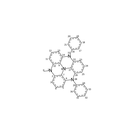 CN1c2cccc3c2N2c4c1cccc4N(c1ccccc1)c1cccc(c12)N3c1ccccc1